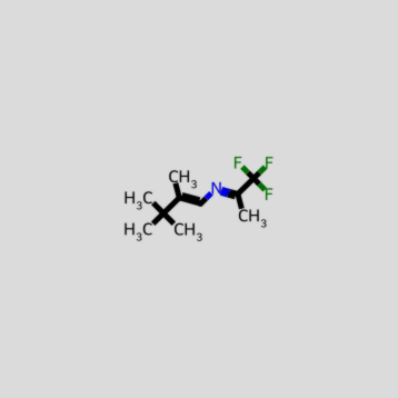 C/C(=C\N=C(/C)C(F)(F)F)C(C)(C)C